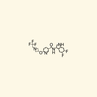 O=C(Nc1c[nH]c2cc(F)c(F)cc12)c1ccc(OC2CN(CC(F)(F)F)C2)nc1